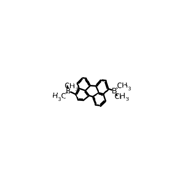 CB(C)c1ccc2c3cccc4c(B(C)C)ccc(c5cccc1c52)c43